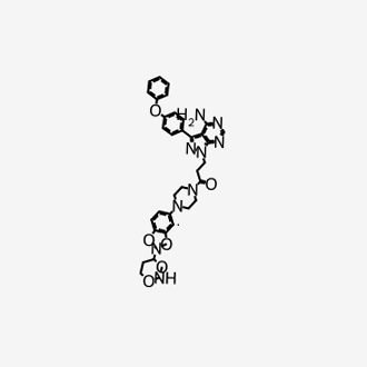 Nc1ncnc2c1c(-c1ccc(Oc3ccccc3)cc1)nn2CCC(=O)N1CCN(c2[c]c3c(cc2)ON(C2CCONO2)O3)CC1